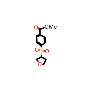 COC(=O)c1ccc(S(=O)(=O)C2CCOC2)cc1